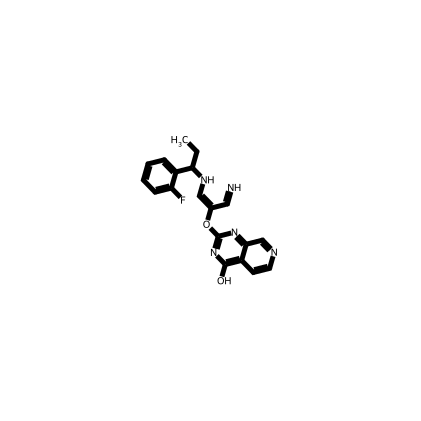 CCC(N/C=C(\C=N)Oc1nc(O)c2ccncc2n1)c1ccccc1F